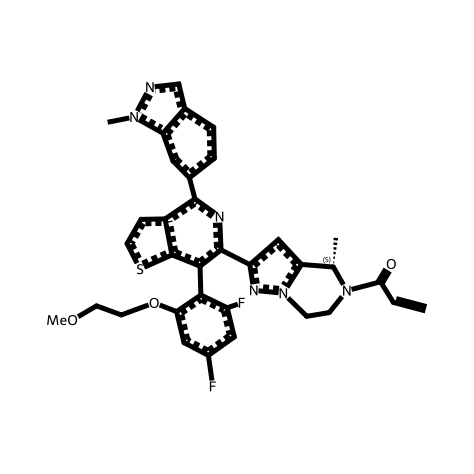 C=CC(=O)N1CCn2nc(-c3nc(-c4ccc5cnn(C)c5c4)c4ccsc4c3-c3c(F)cc(F)cc3OCCOC)cc2[C@@H]1C